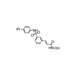 CC(C)c1ccc(NS(=O)(=O)c2cccc(/C=C/C(=O)NO)c2)cc1